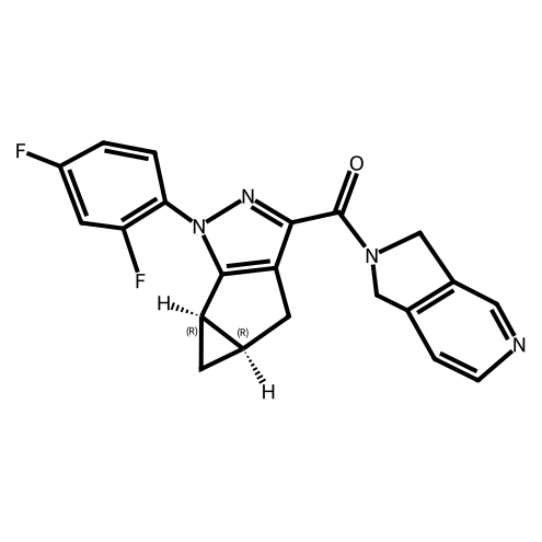 O=C(c1nn(-c2ccc(F)cc2F)c2c1C[C@H]1C[C@@H]21)N1Cc2ccncc2C1